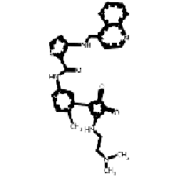 Cc1ccc(NC(=O)c2sccc2NCc2ccnc3ccccc23)cc1-c1c(NCCN(C)C)c(=O)c1=O